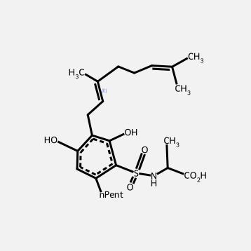 CCCCCc1cc(O)c(C/C=C(\C)CCC=C(C)C)c(O)c1S(=O)(=O)NC(C)C(=O)O